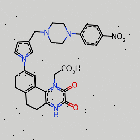 O=C(O)Cn1c2c([nH]c(=O)c1=O)CCC1=C2C=C(n2ccc(CN3CCN(c4ccc([N+](=O)[O-])cc4)CC3)c2)CC1